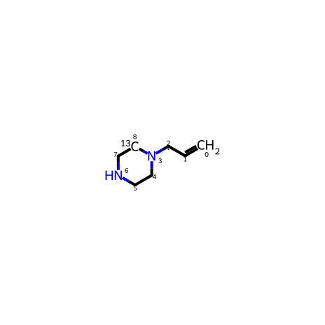 C=C[CH]N1CCNC[13CH2]1